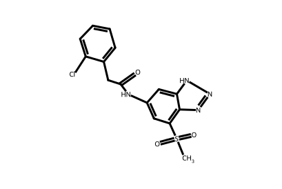 CS(=O)(=O)c1cc(NC(=O)Cc2ccccc2Cl)cc2[nH]nnc12